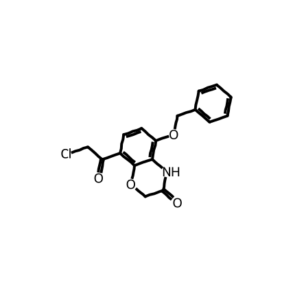 O=C1COc2c(C(=O)CCl)ccc(OCc3ccccc3)c2N1